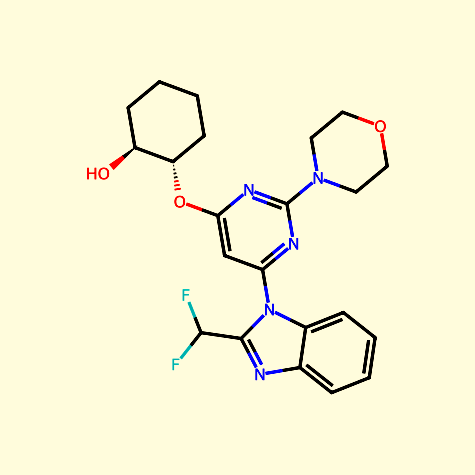 O[C@H]1CCCC[C@@H]1Oc1cc(-n2c(C(F)F)nc3ccccc32)nc(N2CCOCC2)n1